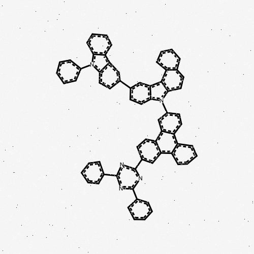 c1ccc(-c2nc(-c3ccccc3)nc(-c3ccc4c(c3)c3ccccc3c3ccc(-n5c6ccc(-c7ccc8c(c7)c7ccccc7n8-c7ccccc7)cc6c6c7ccccc7ccc65)cc34)n2)cc1